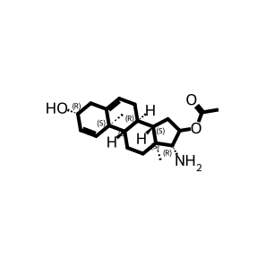 CC(=O)OC1C[C@H]2[C@@H]3CC=C4C[C@@H](O)C=C[C@]4(C)[C@H]3CC[C@]2(C)[C@H]1N